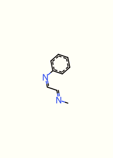 C/N=C/C=N\c1ccccc1